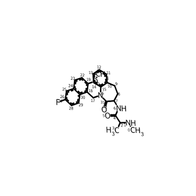 CNC(C)C(=O)NC1CCc2ccccc2N(Cc2c(OC)ccc3cc(F)ccc23)C1=O